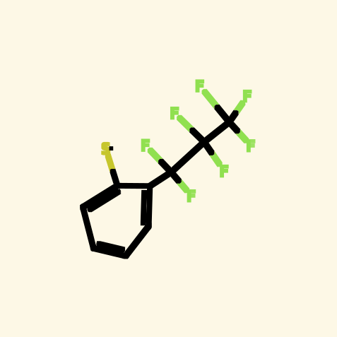 FC(F)(F)C(F)(F)C(F)(F)c1ccccc1[S]